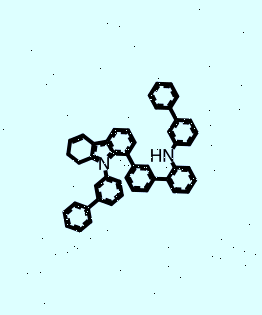 C1=Cc2c(n(-c3cccc(-c4ccccc4)c3)c3c(-c4cccc(-c5ccccc5Nc5cccc(-c6ccccc6)c5)c4)cccc23)CC1